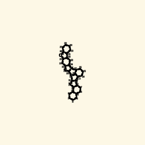 c1ccc2c(c1)ccc1c2nc2n1c1cccc3c1n2c1nc2cc4oc5ccccc5c4cc2n31